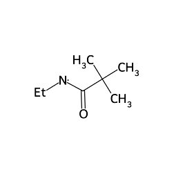 CC[N]C(=O)C(C)(C)C